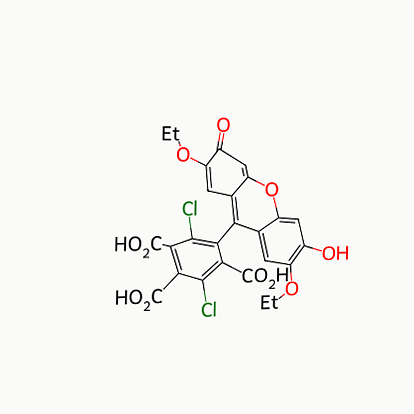 CCOc1cc2c(-c3c(Cl)c(C(=O)O)c(C(=O)O)c(Cl)c3C(=O)O)c3cc(OCC)c(=O)cc-3oc2cc1O